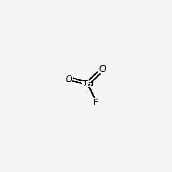 [O]=[Ta](=[O])[F]